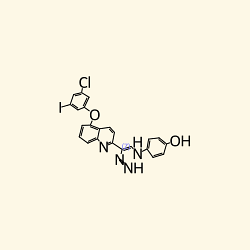 N=N/C(=C\Nc1ccc(O)cc1)c1ccc2c(Oc3cc(Cl)cc(I)c3)cccc2n1